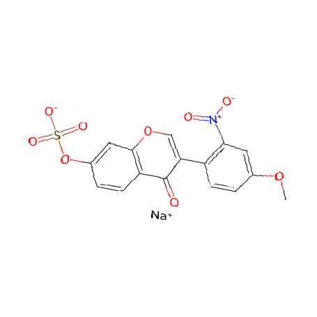 COc1ccc(-c2coc3cc(OS(=O)(=O)[O-])ccc3c2=O)c([N+](=O)[O-])c1.[Na+]